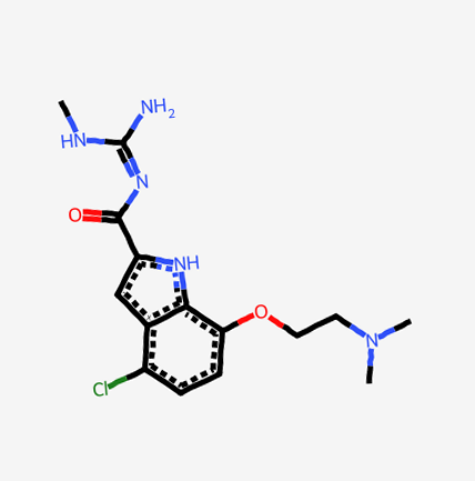 CNC(N)=NC(=O)c1cc2c(Cl)ccc(OCCN(C)C)c2[nH]1